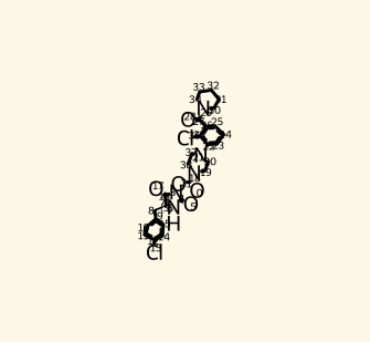 O=C(ON1C(=O)N[C@@H](Cc2ccc(Cl)cc2)C1=O)N1CCN(c2cccc(C(=O)N3CCCCC3)c2Cl)CC1